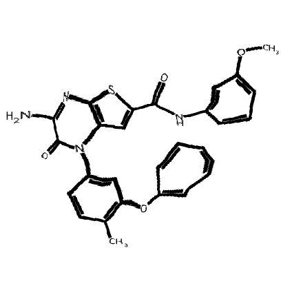 COc1cccc(NC(=O)c2cc3c(nc(N)c(=O)n3-c3ccc(C)c(Oc4ccccc4)c3)s2)c1